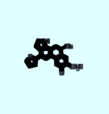 CC(C)(C)[C@@H]1Cc2c(cc(-c3ccco3)c3cc[nH]c23)-c2cc(=O)c(C(=O)O)cn21